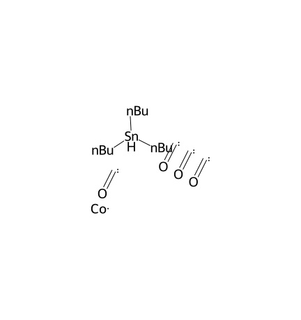 CCC[CH2][SnH]([CH2]CCC)[CH2]CCC.[C]=O.[C]=O.[C]=O.[C]=O.[Co]